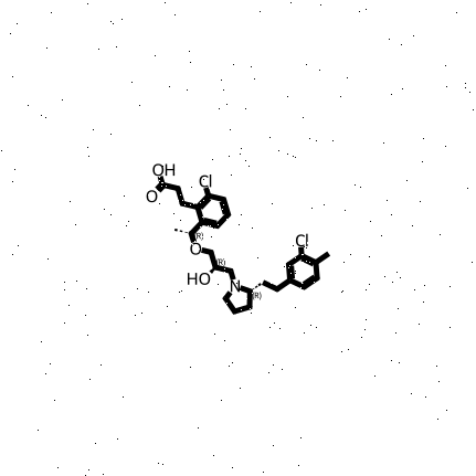 Cc1ccc(CC[C@@H]2CCCN2C[C@@H](O)CO[C@H](C)c2cccc(Cl)c2CCC(=O)O)cc1Cl